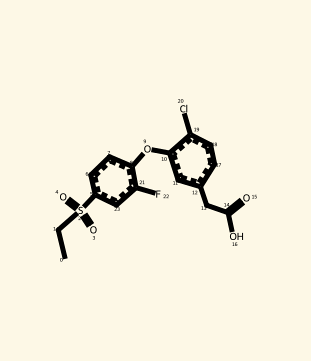 CCS(=O)(=O)c1ccc(Oc2cc(CC(=O)O)ccc2Cl)c(F)c1